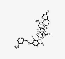 COc1ccc(OCc2cccc(N)c2)c(F)c1[C@H]1O[C@@H]2CC3[C@@H]4CCC5=CC(=O)C=C[C@]5(C)C4[C@@H](O)C[C@]3(C)[C@]2(C(=O)CO)O1